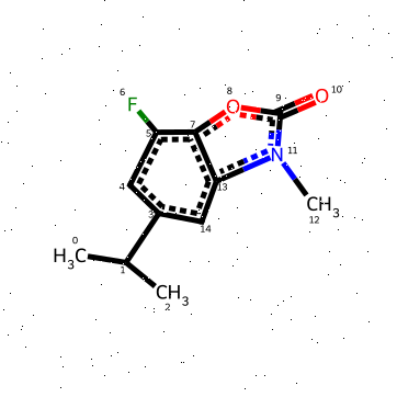 CC(C)c1cc(F)c2oc(=O)n(C)c2c1